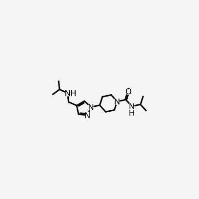 CC(C)NCc1cnn(C2CCN(C(=O)NC(C)C)CC2)c1